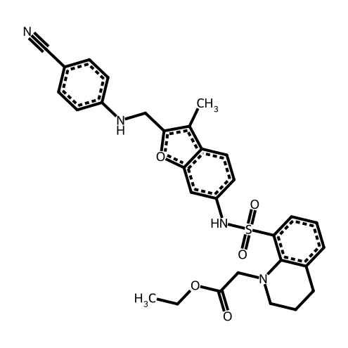 CCOC(=O)CN1CCCc2cccc(S(=O)(=O)Nc3ccc4c(C)c(CNc5ccc(C#N)cc5)oc4c3)c21